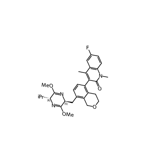 COC1=N[C@H](C(C)C)C(OC)=N[C@H]1Cc1ccc(-c2c(C)c3cc(F)ccc3n(C)c2=O)c2c1COCC2